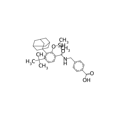 C[SiH](C)Oc1c(C(=O)NCc2ccc(C(=O)O)cc2)ccc(C(C)(C)C)c1C12CC3CC(CC(C3)C1)C2